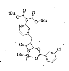 CC(C)(C)OC(=O)N(C(=O)OC(C)(C)C)c1cc(CC2C(=O)N([Si](C)(C)C(C)(C)C)C2OC(=O)c2cccc(Cl)c2)ccn1